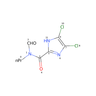 CCCN(C=O)C(=O)c1nc(Cl)c(Cl)[nH]1